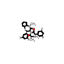 C[C@H](N)C(=O)N(C(=O)Cc1cc(F)cc(F)c1)[C@@H]1C(=O)N(C)c2ccccc2S[C@@H]1c1cc(F)cc(F)c1